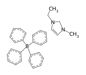 CCN1C=CN(C)C1.c1ccc([B-](c2ccccc2)(c2ccccc2)c2ccccc2)cc1